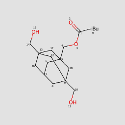 CCC(C)C(=O)OCC12CC3CC(CO)(CC(CO)(C3)C1)C2